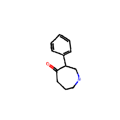 O=C1CCC[N]CC1c1ccccc1